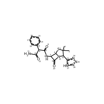 CC1(C)SC2C(NC(=O)C(C(N)=O)c3ccccc3)C(=O)N2C1c1nnn[nH]1